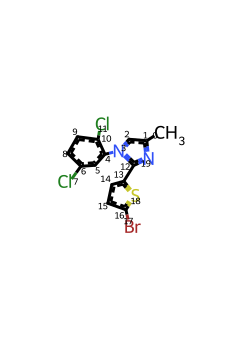 Cc1cn(-c2cc(Cl)ccc2Cl)c(-c2ccc(Br)s2)n1